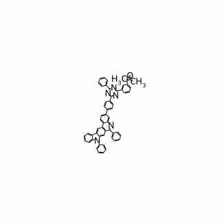 CP(C)(=O)c1cccc(-c2nc(-c3ccccc3)nc(-c3ccc(-c4ccc5c(c4)nc(-c4ccccc4)c4cc6c(cc45)c4ccccc4n6-c4ccccc4)cc3)n2)c1